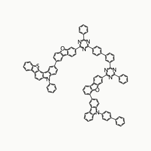 c1ccc(-c2ccc(-n3c4ccccc4c4cc(-c5cccc6c5oc5cc(-c7nc(-c8ccccc8)nc(-c8cccc(-c9ccc(-c%10nc(-c%11ccccc%11)nc(-c%11ccc%12c(c%11)oc%11ccc(-c%13ccc%14c(c%13)c%13c%15sc%16ccccc%16c%15ccc%13n%14-c%13ccccc%13)cc%11%12)n%10)cc9)c8)n7)ccc56)ccc43)cc2)cc1